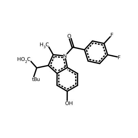 Cc1c(C(C(=O)O)C(C)(C)C)c2cc(O)ccc2n1C(=O)c1ccc(F)c(F)c1